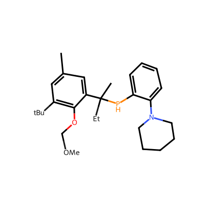 CCC(C)(Pc1ccccc1N1CCCCC1)c1cc(C)cc(C(C)(C)C)c1OCOC